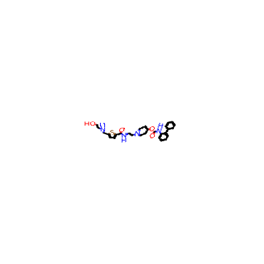 O=C(Nc1ccccc1-c1ccccc1)OC1CCN(CCNC(=O)c2ccc(CNCCO)s2)CC1